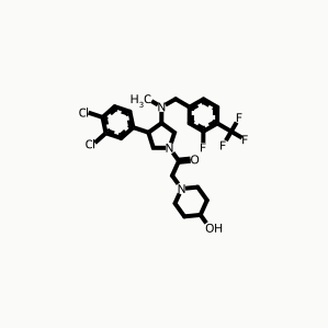 CN(Cc1ccc(C(F)(F)F)c(F)c1)C1CN(C(=O)CN2CCC(O)CC2)CC1c1ccc(Cl)c(Cl)c1